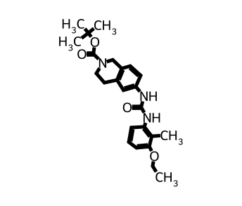 CCOc1cccc(NC(=O)Nc2ccc3c(c2)CCN(C(=O)OC(C)(C)C)C3)c1C